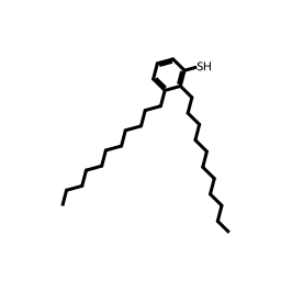 CCCCCCCCCCCc1cccc(S)c1CCCCCCCCCCC